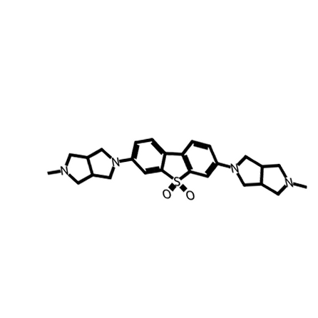 CN1CC2CN(c3ccc4c(c3)S(=O)(=O)c3cc(N5CC6CN(C)CC6C5)ccc3-4)CC2C1